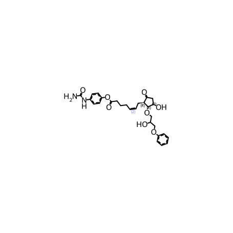 NC(=O)Nc1ccc(OC(=O)CCC/C=C\C[C@H]2C(=O)C[C@@H](O)[C@@H]2OCC(O)COc2ccccc2)cc1